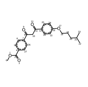 COC(=O)c1ccc(C(=O)CC(=O)c2ccc(OCCCC(C)C)cc2)cc1